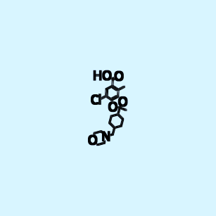 Cc1c(C(=O)O)cc(Cl)c2c1OC(C)(C1CCC(CN3CCOCC3)CC1)O2